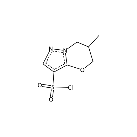 CC1COc2c(S(=O)(=O)Cl)cnn2C1